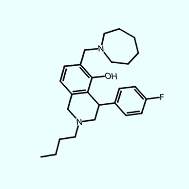 CCCCN1Cc2ccc(CN3CCCCCC3)c(O)c2C(c2ccc(F)cc2)C1